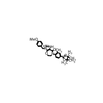 COc1ccc(CN2NNC3=C2OCCN(c2ccc(B4OC(C)(C)C(C)(C)O4)cc2C)C3=O)cc1